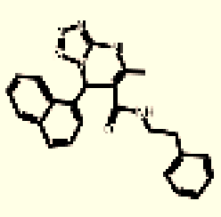 CC1=C(C(=O)NCCc2ccccc2)C(c2cccc3ccccc23)n2nnnc2N1